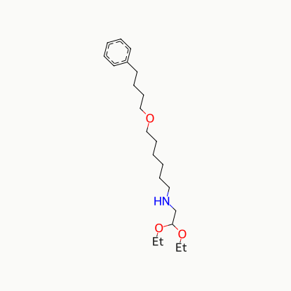 CCOC(CNCCCCCCOCCCCc1ccccc1)OCC